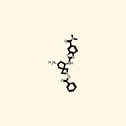 CN(C)C(=O)c1ccc2nc(N[C@@H]3C[C@@H](N)CC34CN(OC(=O)c3ccccc3)C4)sc2c1